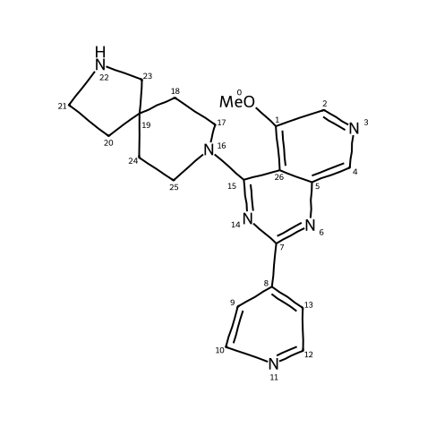 COc1cncc2nc(-c3ccncc3)nc(N3CCC4(CCNC4)CC3)c12